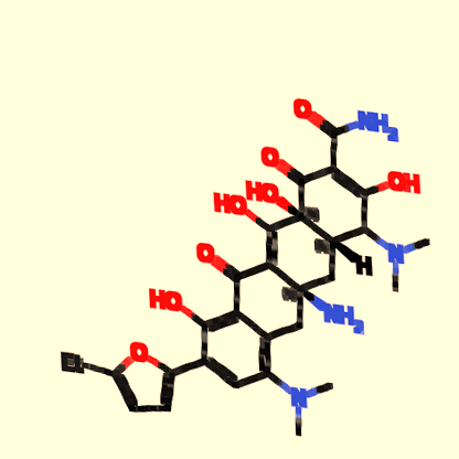 CCc1ccc(-c2cc(N(C)C)c3c(c2O)C(=O)C2=C(O)[C@]4(O)C(=O)C(C(N)=O)=C(O)C(N(C)C)[C@@H]4C[C@]2(N)C3)o1